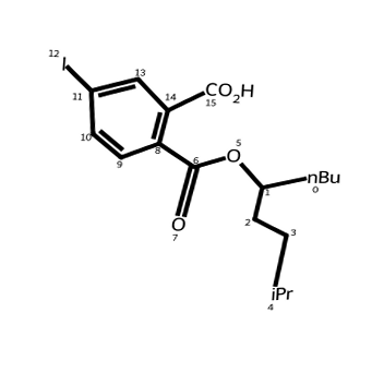 CCCCC(CCC(C)C)OC(=O)c1ccc(I)cc1C(=O)O